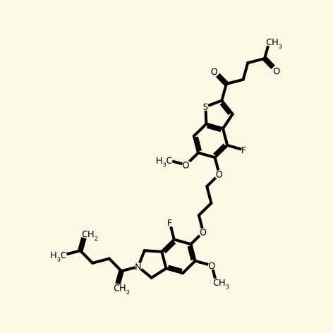 C=C(C)CCC(=C)N1Cc2cc(OC)c(OCCCOc3c(OC)cc4sc(C(=O)CCC(C)=O)cc4c3F)c(F)c2C1